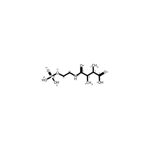 CC(C(=O)O)C(C)C(=O)NCCOP(=O)(O)O